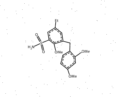 CCc1cc(Cc2ccc(OC)cc2OC)c(OC)c(S(N)(=O)=O)c1